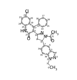 CCn1ncc2cc(C3CC(c4c(-c5ccccc5)c5cc(Cl)ccc5[nH]c4=O)=NN3C(C)=O)ccc21